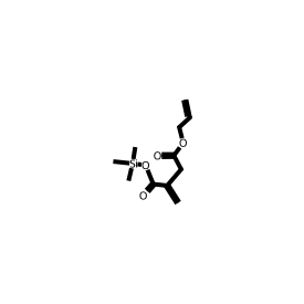 C=CCOC(=O)CC(=C)C(=O)O[Si](C)(C)C